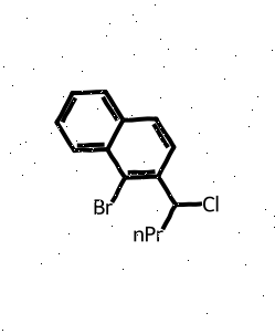 CCCC(Cl)c1ccc2ccccc2c1Br